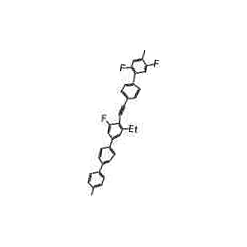 CCc1cc(-c2ccc(-c3ccc(C)cc3)cc2)cc(F)c1C#Cc1ccc(-c2cc(F)c(C)cc2F)cc1